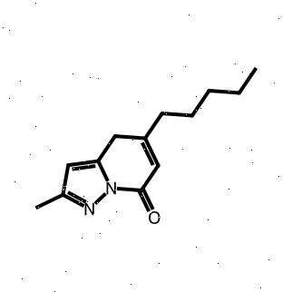 CCCCCC1=CC(=O)n2nc(C)cc2C1